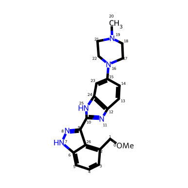 COCc1cccc2[nH]nc(-c3nc4ccc(N5CCN(C)CC5)cc4[nH]3)c12